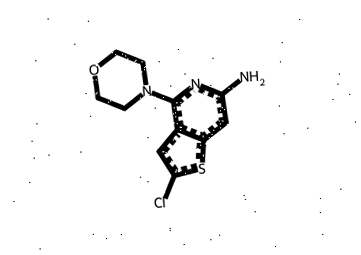 Nc1cc2sc(Cl)cc2c(N2CCOCC2)n1